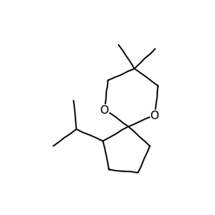 CC(C)C1CCCC12OCC(C)(C)CO2